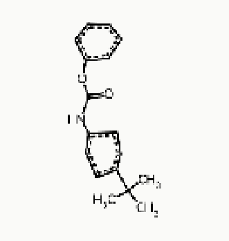 CC(C)(C)c1ccc(NC(=O)Oc2ccccc2)cc1